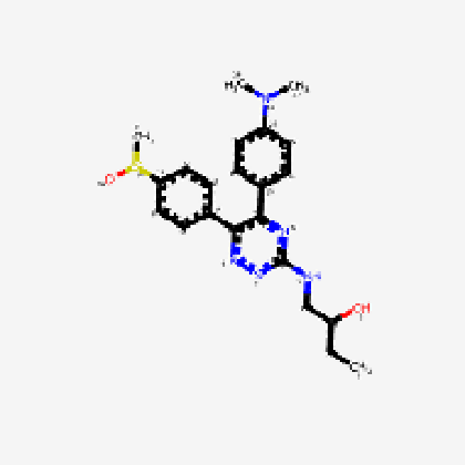 CCC(O)CNc1nnc(-c2ccc([S+](C)[O-])cc2)c(-c2ccc(N(C)C)cc2)n1